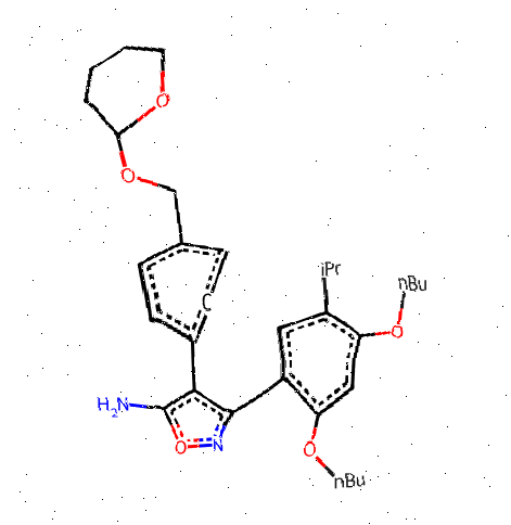 CCCCOc1cc(OCCCC)c(C(C)C)cc1-c1noc(N)c1-c1ccc(COC2CCCCO2)cc1